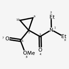 CCN(CC)C(=O)C1(C(=O)OC)CC1